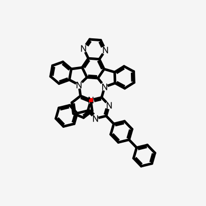 c1ccc(-c2ccc(-c3nc(-c4ccccc4)nc(-n4c5ccccc5c5c6nccnc6c6c7ccccc7n(-c7ccccc7)c6c54)n3)cc2)cc1